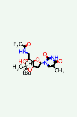 Cc1cn([C@H]2C[C@H](O[Si](C)(C)C(C)(C)C)[C@@H](C(O)CNC(=O)C(F)(F)F)O2)c(=O)[nH]c1=O